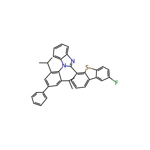 CC(C)c1cc(-c2ccccc2)cc(C(C)C)c1-n1c(-c2cccc3c2sc2ccc(F)cc23)nc2ccccc21